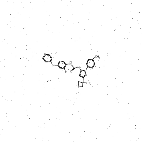 Cc1ccc(-n2nc(C3(C)CSC3)cc2NC(=O)Nc2ccc(Sc3ccncc3)cc2F)cc1